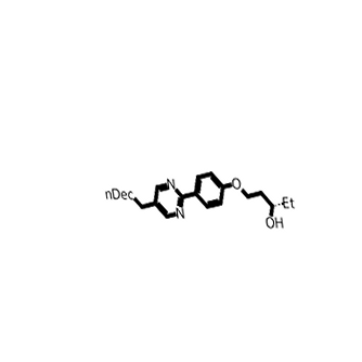 CCCCCCCCCCCc1cnc(-c2ccc(OCC[C@@H](O)CC)cc2)nc1